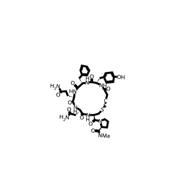 CNC(=O)[C@@H]1CCCN1C(=O)[C@@H]1CSSCCC(=O)N[C@@H](Cc2ccc(O)cc2)C(=O)N[C@@H](Cc2ccccc2)C(=O)N[C@@H](CCC(N)=O)C(=O)N[C@@H](CC(N)=O)C(=O)N1